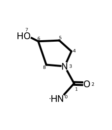 [NH]C(=O)N1CCC(O)C1